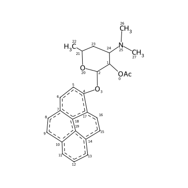 CC(=O)OC1C(Oc2ccc3ccc4cccc5ccc2c3c45)OC(C)CC1N(C)C